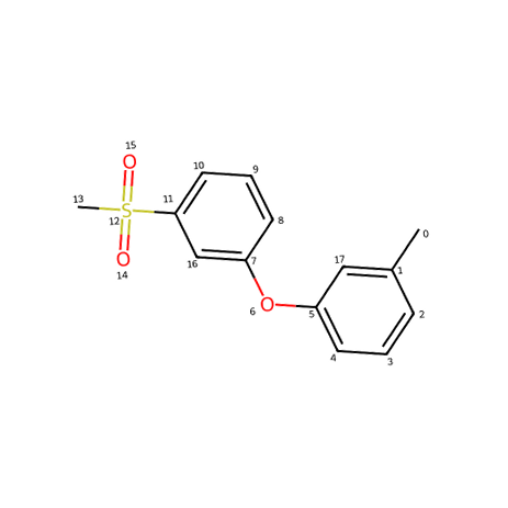 Cc1cccc(Oc2cccc(S(C)(=O)=O)c2)c1